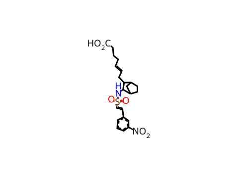 O=C(O)CCCC=CCC1C2CCC(C2)C1NS(=O)(=O)C=Cc1cccc([N+](=O)[O-])c1